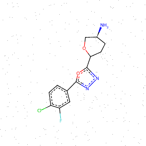 N[C@H]1CCC(c2nnc(-c3ccc(Cl)c(F)c3)o2)OC1